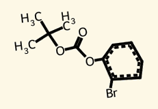 CC(C)(C)OC(=O)Oc1ccccc1Br